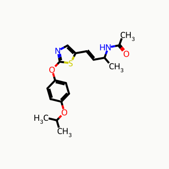 CC(=O)NC(C)C=Cc1cnc(Oc2ccc(OC(C)C)cc2)s1